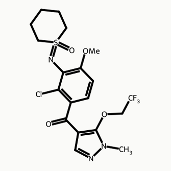 COc1ccc(C(=O)c2cnn(C)c2OCC(F)(F)F)c(Cl)c1N=S1(=O)CCCCC1